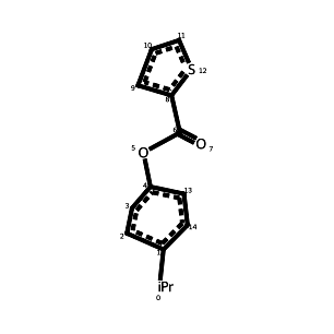 CC(C)c1ccc(OC(=O)c2cccs2)cc1